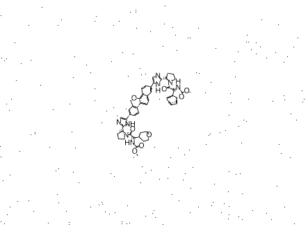 COC(=O)N[C@H](C(=O)N1CCC[C@H]1c1ncc(-c2ccc3c(c2)COc2c-3ccc3cc(-c4cnc([C@@H]5CCCN5C(=O)[C@H](NC(=O)OC)c5ccccc5)[nH]4)ccc23)[nH]1)C1CCOCC1